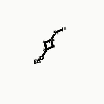 CCOC1CN(SI)C1